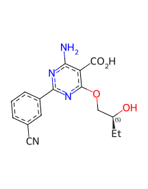 CC[C@H](O)COc1nc(-c2cccc(C#N)c2)nc(N)c1C(=O)O